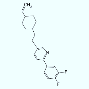 C=CC1CCC(CCc2ccc(-c3ccc(F)c(F)c3)nc2)CC1